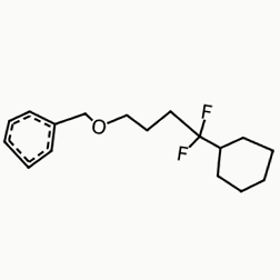 FC(F)(CCCOCc1ccccc1)C1CCCCC1